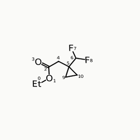 CCOC(=O)CC1(C(F)F)CC1